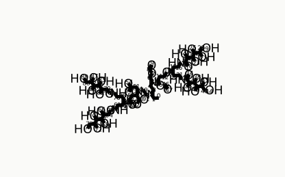 CCN(CCN(COC=O)C(CCON(CCNC(=O)C(O)C(O)C(O)C(O)CO)CCNC(=O)C(O)C(O)C(O)C(O)CO)OC=O)CCN(CC(=O)O)C(CC(=O)N(CCNOCC(O)C(O)C(O)C(O)CO)CCNOCC(O)C(O)C(O)C(O)CO)C(=O)O